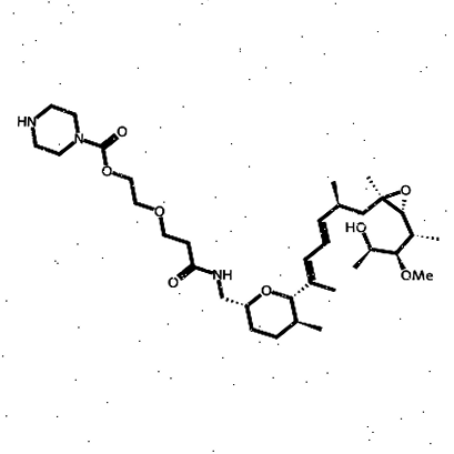 CO[C@H]([C@@H](C)[C@H]1O[C@]1(C)C[C@H](C)/C=C/C=C(\C)[C@H]1O[C@@H](CNC(=O)CCOCCOC(=O)N2CCNCC2)CC[C@@H]1C)[C@@H](C)O